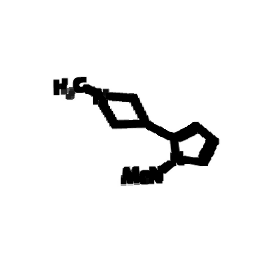 CNn1cccc1C1CN(C)C1